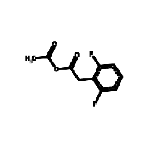 CC(=O)OC(=O)Cc1c(F)cccc1F